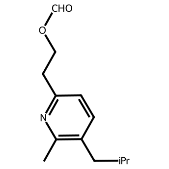 Cc1nc(CCOC=O)ccc1CC(C)C